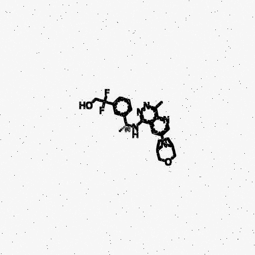 Cc1nnc(N[C@H](C)c2cccc(C(F)(F)CO)c2)c2cc(N3C4CCC3COC4)cnc12